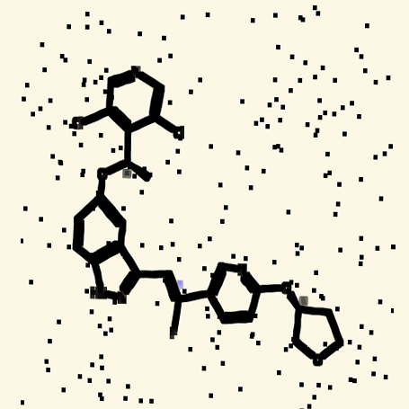 C[C@@H](Oc1ccc2[nH]nc(/C=C(\F)c3ccc(O[C@H]4CCOC4)nc3)c2c1)c1c(Cl)cncc1Cl